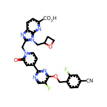 N#Cc1ccc(COc2nc(-c3ccn(Cc4nc5ccc(C(=O)O)nc5n4CC4CCO4)c(=O)c3)ncc2F)c(F)c1